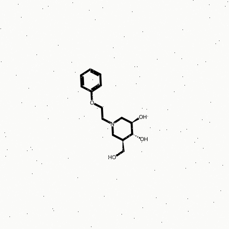 OC[C@H]1CN(CCOc2ccccc2)C[C@@H](O)[C@@H]1O